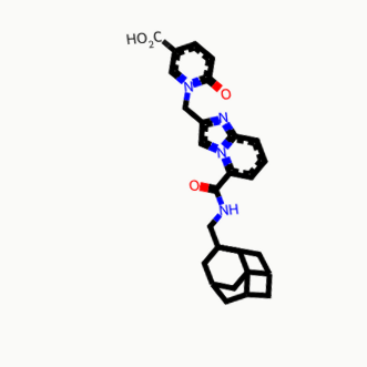 O=C(O)c1ccc(=O)n(Cc2cn3c(C(=O)NCC45CC6CC7CC(C4)C7(C6)C5)cccc3n2)c1